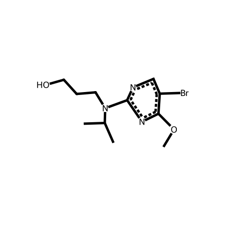 COc1nc(N(CCCO)C(C)C)ncc1Br